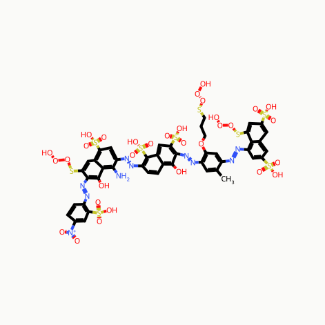 Cc1cc(N=Nc2c(S(=O)(=O)O)cc3c(S(=O)(=O)O)c(N=Nc4cc(S(=O)(=O)O)c5cc(SOOO)c(N=Nc6ccc([N+](=O)[O-])cc6S(=O)(=O)O)c(O)c5c4N)ccc3c2O)c(OCCCSOOO)cc1N=Nc1cc(S(=O)(=O)O)cc2cc(S(=O)(=O)O)cc(SOOO)c12